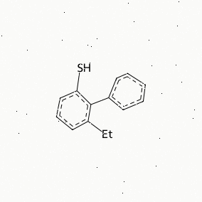 CCc1cccc(S)c1-c1ccccc1